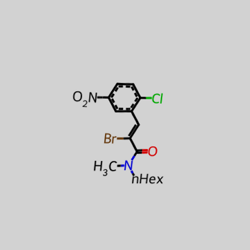 CCCCCCN(C)C(=O)C(Br)=Cc1cc([N+](=O)[O-])ccc1Cl